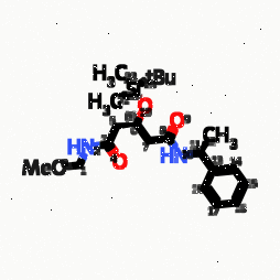 COCNC(=O)C[C@H](CC(=O)N[C@@H](C)c1ccccc1)O[Si](C)(C)C(C)(C)C